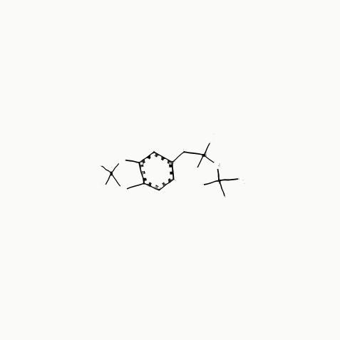 BC(B)(B)NC(B)(CC)Cc1ccc2c(c1)OC(B)(B)O2